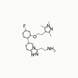 Cc1nn(C)c(C)c1CCOc1cc(F)ccc1-c1ccc2nnc(CCN)n2c1